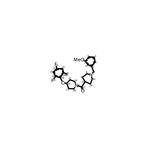 COc1cccc(CN2CCC(C(=O)N3CCC(Oc4c(F)cc(F)cc4F)CC3)CC2)c1